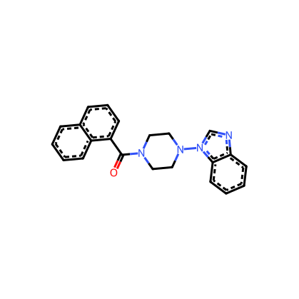 O=C(c1cccc2ccccc12)N1CCN(n2cnc3ccccc32)CC1